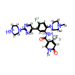 C[C@H]1CN(c2cc(F)c(-c3cnc(N4CCNCC4)nc3)cc2NC(=O)c2cn(C)c(=O)cc2C(F)(F)F)CCN1C